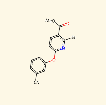 CCc1nc(Oc2cccc(C#N)c2)ccc1C(=O)OC